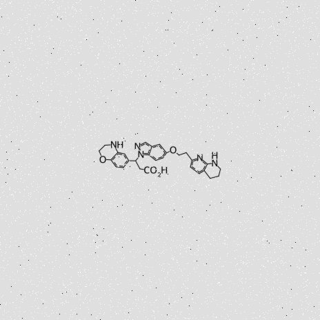 O=C(O)CC(c1ccc2c(c1)NCCO2)n1ncc2cc(OCCc3ccc4c(n3)NCCC4)ccc21